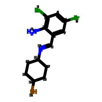 Nc1c(Br)cc(Br)cc1C=NC1CCC(S)CC1